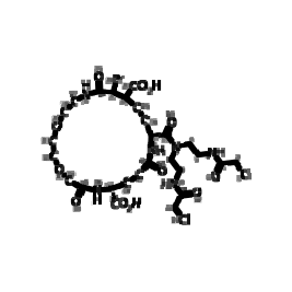 O=C(CCl)NCCN(CCNC(=O)CCl)C(=O)[C@@H]1CCC(C(=O)O)C(Br)C(=O)NCCOCCOCC(=O)N[C@@H](C(=O)O)CCC(=O)N1